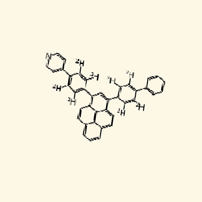 [2H]c1c([2H])c(-c2cc(-c3c([2H])c([2H])c(-c4ccncc4)c([2H])c3[2H])c3ccc4cccc5ccc2c3c54)c([2H])c([2H])c1-c1ccccc1